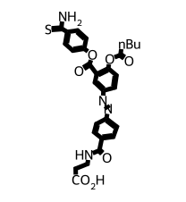 CCCCC(=O)Oc1ccc(/N=N/c2ccc(C(=O)NCCC(=O)O)cc2)cc1C(=O)Oc1ccc(C(N)=S)cc1